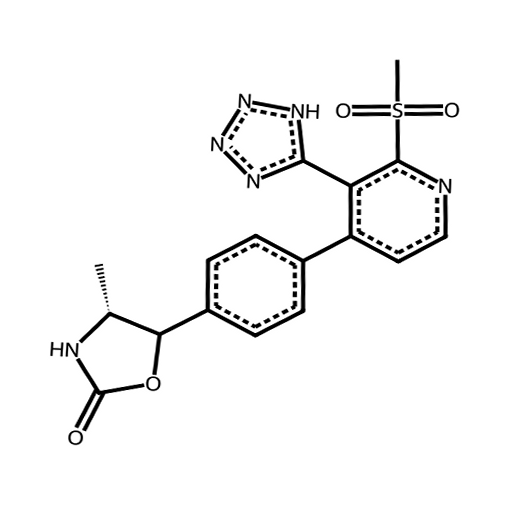 C[C@H]1NC(=O)OC1c1ccc(-c2ccnc(S(C)(=O)=O)c2-c2nnn[nH]2)cc1